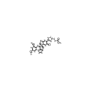 COC(=O)CCC1CCN(c2cc(F)c(S(=O)(=O)N(Cc3ccc(OC)cc3OC)c3nccs3)cc2Cl)C1